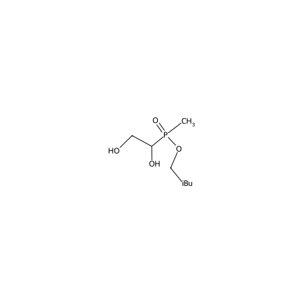 CCC(C)COP(C)(=O)C(O)CO